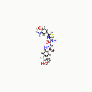 CN1CCOc2ccc(-c3csc(NC(=O)CNC(=O)c4ccc5c(c4)[C@](C)(CO)CC5)n3)cc21